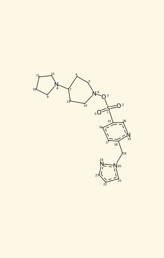 O=S(=O)(ON1CCC(N2CCCC2)CC1)c1ccc(Cn2cccn2)nc1